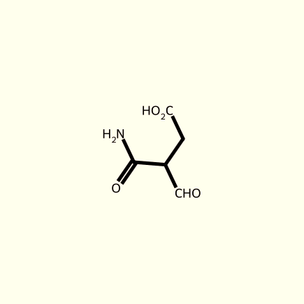 NC(=O)C(C=O)CC(=O)O